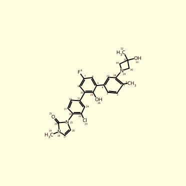 Cc1ccc(-c2cc(F)cc(-c3ccc(-n4ccn(C)c4=O)c(Cl)c3)c2O)cc1N1CC(C)(O)C1